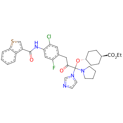 CCOC(=O)[C@H]1CC[C@H](OC(C(=O)Cc2cc(Cl)c(NC(=O)c3csc4ccccc34)cc2F)(N2CCCC2)n2ccnc2)CC1